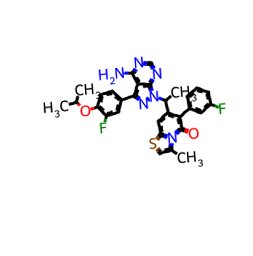 Cc1csc2cc(C(C)n3nc(-c4ccc(OC(C)C)c(F)c4)c4c(N)ncnc43)c(-c3cccc(F)c3)c(=O)n12